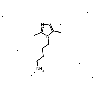 Cc1cnc(C)n1CCCCN